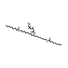 CCCCCCCCC(=O)OCCCCCCCCC(CCCCCCCCOC(=O)CCCCCCCC)OC(=O)CC(C)CC(C)(C)CN(C)C